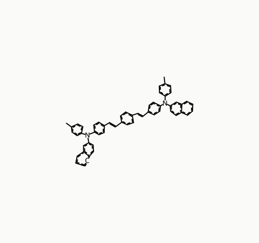 Cc1ccc(N(c2ccc(C=Cc3ccc(C=Cc4ccc(N(c5ccc(C)cc5)c5ccc6ccccc6c5)cc4)cc3)cc2)c2ccc3ccccc3c2)cc1